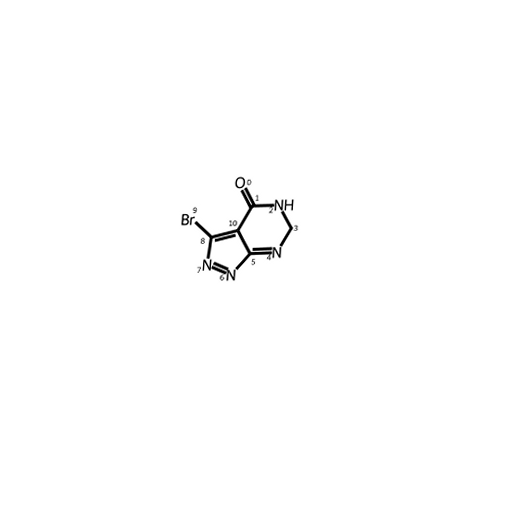 O=C1NCN=C2N=NC(Br)=C12